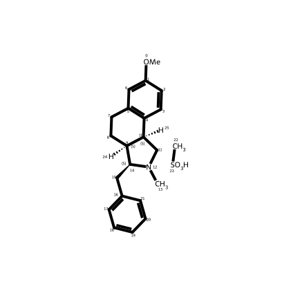 COc1ccc2c(c1)CC[C@H]1[C@@H]2CN(C)[C@H]1Cc1ccccc1.CS(=O)(=O)O